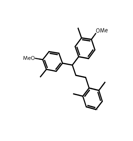 COc1ccc(C(CCc2c(C)c[c]cc2C)c2ccc(OC)c(C)c2)cc1C